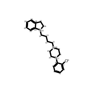 Clc1ccccc1N1CCN(CCCCN2CCc3ccccc32)CC1